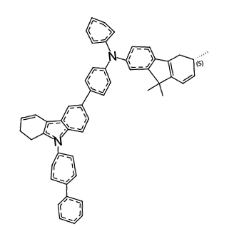 C[C@@H]1C=CC2=C(C1)c1ccc(N(c3ccccc3)c3ccc(-c4ccc5c(c4)c4c(n5-c5ccc(-c6ccccc6)cc5)CCC=C4)cc3)cc1C2(C)C